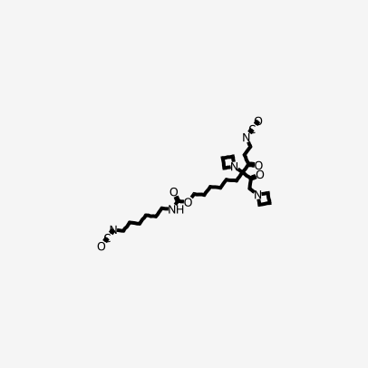 O=C=NCCCCCCNC(=O)OCCCCCCC(C(=O)CCN=C=O)(C(=O)CN1CCC1)N1CCC1